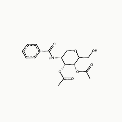 CC(=O)O[C@@H]1[C@H](NC(=O)c2ccccc2)COC(CO)[C@@H]1OC(C)=O